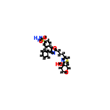 NS(=O)(=O)c1ccc(-c2oc(CCCc3csc(C4(O)CCOCC4)n3)nc2-c2ccccc2)cc1